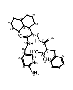 CN(C)[C@H](Cc1ccccc1)C(=O)NC[C@H](C(=O)NCc1ccc(N)nc1)C1CCCC2CCCCC21